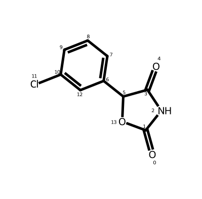 O=C1NC(=O)C(c2cccc(Cl)c2)O1